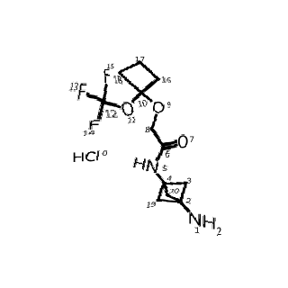 Cl.NC12CC(NC(=O)COC3(OC(F)(F)F)CCC3)(C1)C2